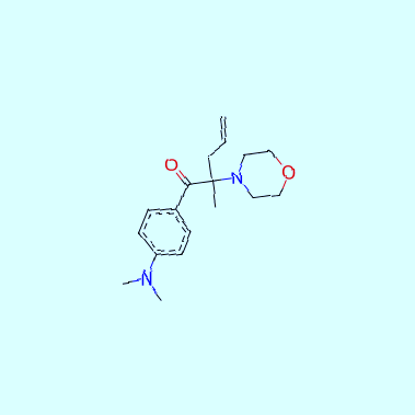 C=CCC(C)(C(=O)c1ccc(N(C)C)cc1)N1CCOCC1